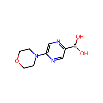 OB(O)c1cnc(N2CCOCC2)cn1